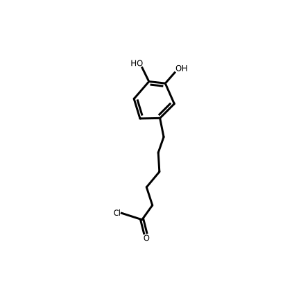 O=C(Cl)CCCCCc1ccc(O)c(O)c1